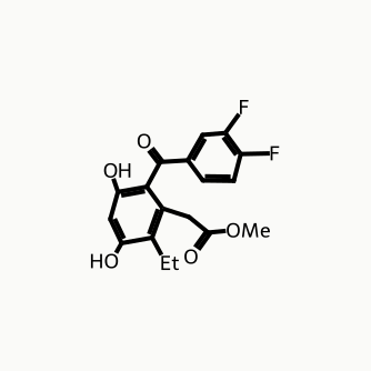 CCc1c(O)cc(O)c(C(=O)c2ccc(F)c(F)c2)c1CC(=O)OC